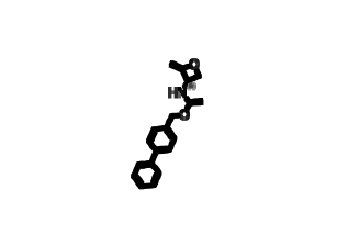 C=C(N[C@@H]1COC1=C)OCc1ccc(-c2ccccc2)cc1